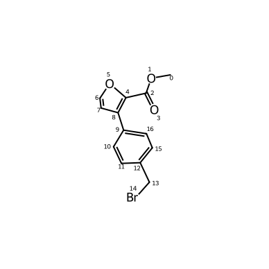 COC(=O)c1occc1-c1ccc(CBr)cc1